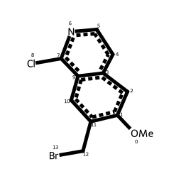 COc1cc2ccnc(Cl)c2cc1CBr